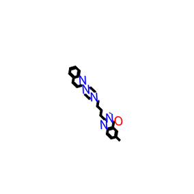 Cc1ccc2nc(CCCCN3CCN(c4ccc5ccccc5n4)CC3)n(C)c(=O)c2c1